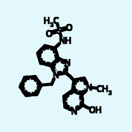 Cn1cc(-c2nc3c(NS(C)(=O)=O)cccc3n2Cc2ccccc2)c2ccnc(O)c21